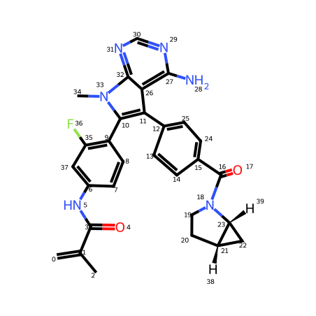 C=C(C)C(=O)Nc1ccc(-c2c(-c3ccc(C(=O)N4CC[C@H]5C[C@H]54)cc3)c3c(N)ncnc3n2C)c(F)c1